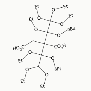 CCCCOC(OCC)(C(OCC)(OCC)OCC)C(CC(=O)O)(C(=O)O)C(OCC)(OCCC)C(OCC)OCC